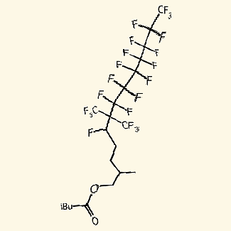 CCC(C)C(=O)OCC(C)CCC(F)C(C(F)(F)F)(C(F)(F)F)C(F)(F)C(F)(F)C(F)(F)C(F)(F)C(F)(F)C(F)(F)C(F)(F)F